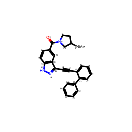 CNC1CCN(C(=O)c2ccc3[nH]nc(C#Cc4ccccc4-c4ccccc4)c3c2)C1